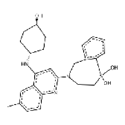 Cc1ccc2nc(N3CCS(O)(O)c4ccccc4C3)cc(N[C@H]3CC[C@H](O)CC3)c2c1